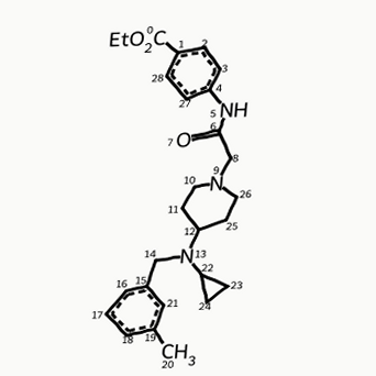 CCOC(=O)c1ccc(NC(=O)CN2CCC(N(Cc3cccc(C)c3)C3CC3)CC2)cc1